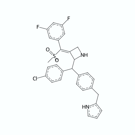 CS(=O)(=O)C(=C1CNC1C(c1ccc(Cl)cc1)c1ccc(Cc2ccc[nH]2)cc1)c1cc(F)cc(F)c1